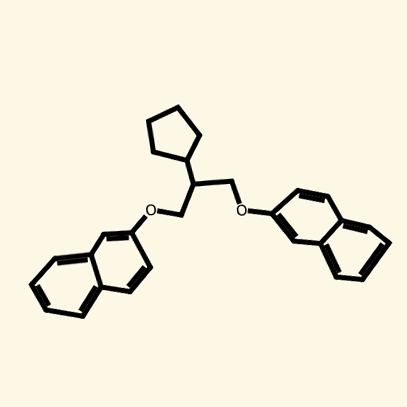 c1ccc2cc(OCC(COc3ccc4ccccc4c3)C3CCCC3)ccc2c1